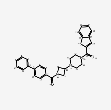 O=C(c1ccc(-c2ccccc2)cc1)N1CC(N2CCN(C(=O)c3cc4ccccc4s3)CC2)C1